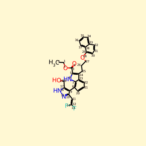 CCOC(=O)c1[nH]c2c(-c3c(C=C(F)F)n[nH]c3CO)cccc2c1CCCOc1cccc2ccccc12